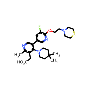 Cc1ncc(-c2cnc(OCCN3CCSCC3)c(F)c2)c(N2CCC(C)(C)CC2)c1CC(=O)O